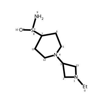 CCN1CC(N2CCC([S+](N)[O-])CC2)C1